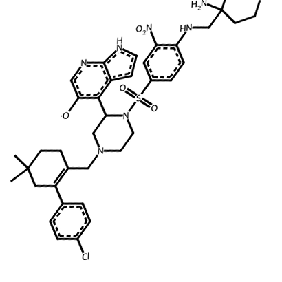 CC1(C)CCC(CN2CCN(S(=O)(=O)c3ccc(NCC4(N)CCOCC4)c([N+](=O)[O-])c3)C(c3c([O])cnc4[nH]ccc34)C2)=C(c2ccc(Cl)cc2)C1